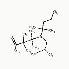 CCCC(C)(C)N(CC(C)N)C(C)(C)C(C)(C)C(C)=O